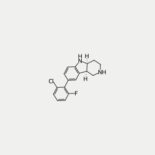 Fc1cccc(Cl)c1-c1ccc2c(c1)[C@@H]1CNCC[C@@H]1N2